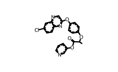 CC(Oc1ccc(Oc2cnc3cc(Cl)ccc3n2)cc1)C(=O)Oc1cccnc1